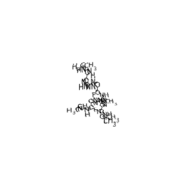 CC(C)Nc1cncc(-c2cnc3[nH]nc(-c4nc5c(-c6cc(F)cc(NCCN(C)n7nc(-c8nc9c(-c%10cc(F)cc(NCCN(C)C)c%10)cccc9[nH]8)c8cc(-c9cncc(NC(=O)C(C)C)c9)cnc87)c6)cccc5[nH]4)c3c2)c1